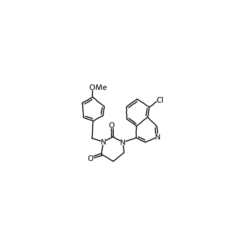 COc1ccc(CN2C(=O)CCN(c3cncc4c(Cl)cccc34)C2=O)cc1